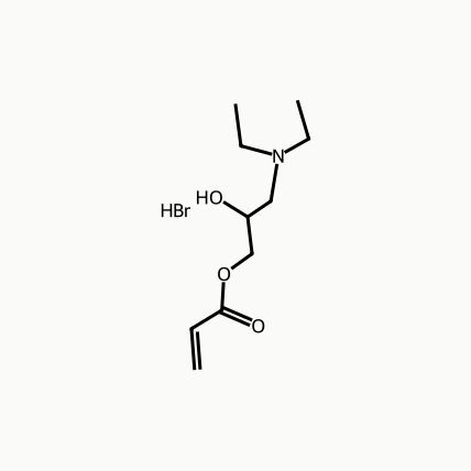 Br.C=CC(=O)OCC(O)CN(CC)CC